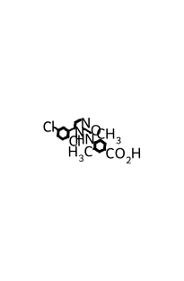 Cc1cc(C(=O)O)cc(C)c1NC(=O)c1nccc(-c2cc(Cl)ccc2Cl)n1